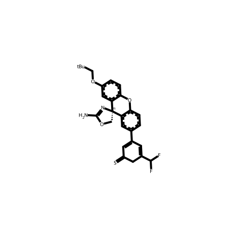 CC(C)(C)COc1ccc2c(c1)[C@@]1(COC(N)=N1)c1cc(C3=CC(=S)CC(C(F)F)=C3)ccc1O2